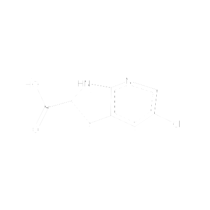 O=C(O)C1Cc2cc(Cl)cnc2N1